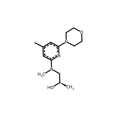 C[C@@H](O)CN(C)c1cc(I)cc(N2CCOCC2)n1